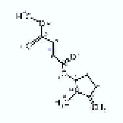 C=C1CCC(OC(=O)/C=C/C(=O)OC)N1C